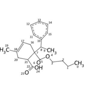 CCCCOC(=O)C1(C(C)c2ccccc2)CC=C(C)CC1C(=O)O